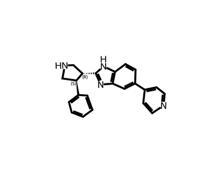 c1ccc([C@H]2CNC[C@@H]2c2nc3cc(-c4ccncc4)ccc3[nH]2)cc1